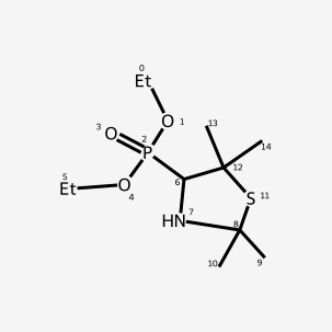 CCOP(=O)(OCC)C1NC(C)(C)SC1(C)C